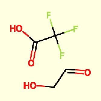 O=C(O)C(F)(F)F.O=CCO